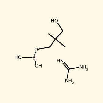 CC(C)(CO)COB(O)O.N=C(N)N